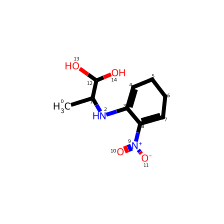 CC(NC1=C[CH]CC=C1[N+](=O)[O-])C(O)O